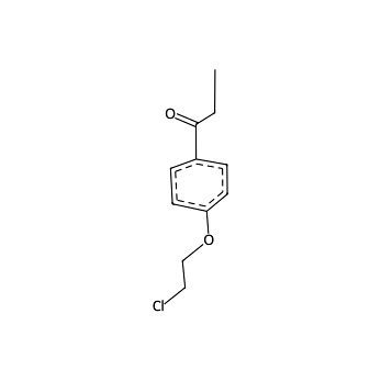 CCC(=O)c1ccc(OCCCl)cc1